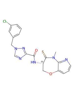 CN1C(=S)[C@@H](NC(=O)c2ncn(Cc3cccc(Cl)c3)n2)COc2cccnc21